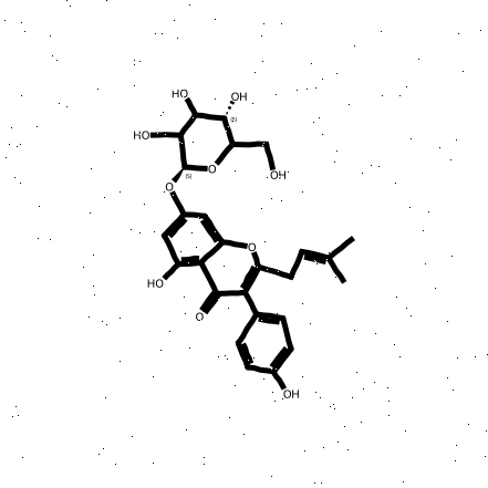 CC(C)=CCc1oc2cc(O[C@@H]3OC(CO)[C@@H](O)C(O)C3O)cc(O)c2c(=O)c1-c1ccc(O)cc1